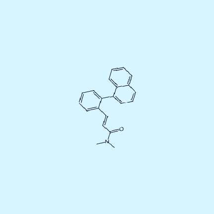 CN(C)C(=O)C=Cc1ccccc1-c1cccc2ccccc12